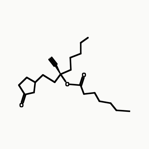 C#C[C@](CCCCC)(CCC1CCC(=O)C1)OC(=O)CCCCCC